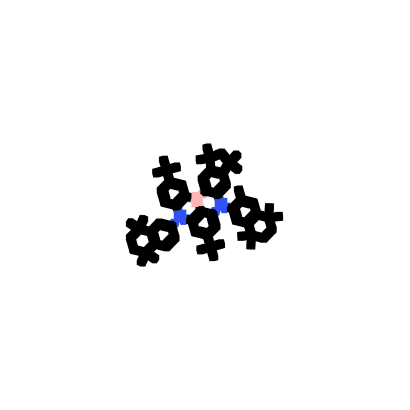 Cc1cc2c(cc1N1c3cc4c(cc3B3c5cc(C(C)(C)C)ccc5N(c5ccc6c(c5)C(C)(C)CCC6(C)C)c5cc(C(C)(C)C)cc1c53)C(C)(C)CC4(C)C)C(C)(C)CCC2(C)C